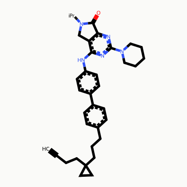 C#CCCC1(CCCc2ccc(-c3ccc(Nc4nc(N5CCCCC5)nc5c4CN(C(C)C)C5=O)cc3)cc2)CC1